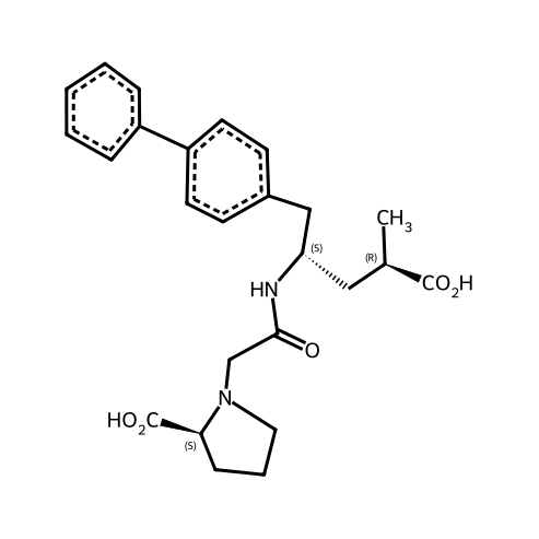 C[C@H](C[C@@H](Cc1ccc(-c2ccccc2)cc1)NC(=O)CN1CCC[C@H]1C(=O)O)C(=O)O